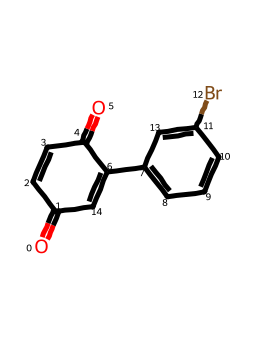 O=C1C=CC(=O)C(c2cccc(Br)c2)=C1